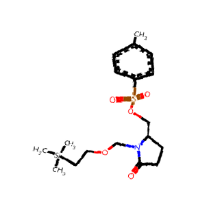 Cc1ccc(S(=O)(=O)OC[C@H]2CCC(=O)N2COCC[Si](C)(C)C)cc1